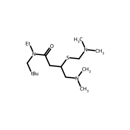 CCN(CC(C)(C)C)C(=O)CC(CN(C)C)SCN(C)C